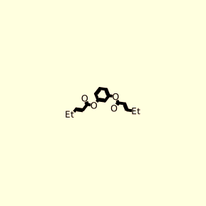 CCC=CC(=O)Oc1cccc(OC(=O)C=CCC)c1